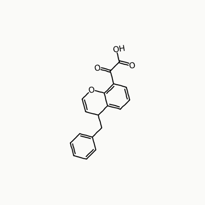 O=C(O)C(=O)c1cccc2c1OC=CC2Cc1ccccc1